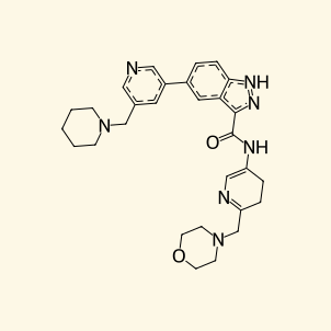 O=C(NC1=CN=C(CN2CCOCC2)CC1)c1n[nH]c2ccc(-c3cncc(CN4CCCCC4)c3)cc12